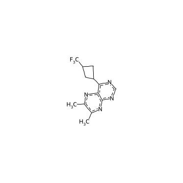 Cc1nc2ncnc(C3CC(C(F)(F)F)C3)c2nc1C